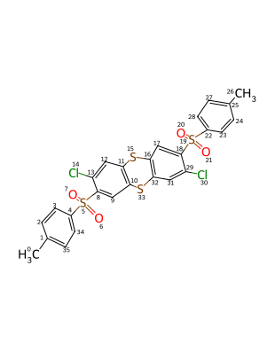 Cc1ccc(S(=O)(=O)c2cc3c(cc2Cl)Sc2cc(S(=O)(=O)c4ccc(C)cc4)c(Cl)cc2S3)cc1